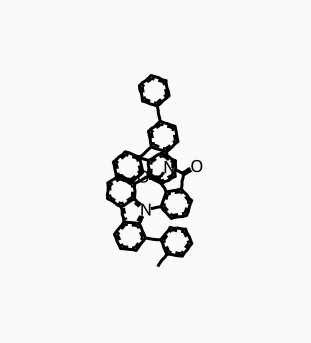 Cc1ccccc1-c1cccc2c3cccc(-c4ccccc4C)c3n(-c3cccc4c3C(=O)N(c3ccc(-c5ccccc5)cc3-c3ccccc3)C4=O)c12